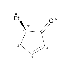 CC[C@@H]1CC=CC1=O